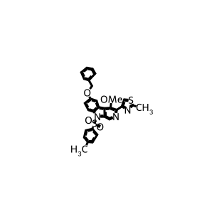 COc1c(-c2csc(C)n2)ncc2c1c1cc(OCc3ccccc3)ccc1n2S(=O)(=O)c1ccc(C)cc1